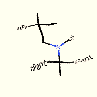 CCCCCC(C)(CCCCC)N(CC)CC(C)(C)CCC